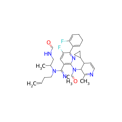 C=CCCN(/C(=N/C)c1cc(F)c(C2=CCCC=C2F)nc1N(C=O)C1C(C)=NC=CC1C1CC1)C(C)CNC=O